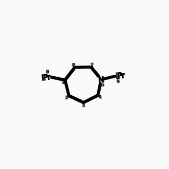 CC(C)C1CCCN(C(C)C)CC1